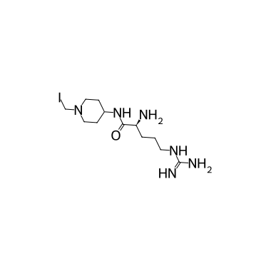 N=C(N)NCCC[C@H](N)C(=O)NC1CCN(CI)CC1